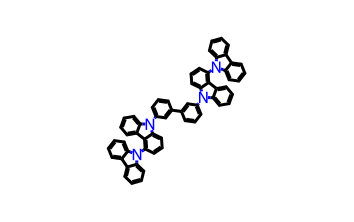 c1cc(-c2cccc(-n3c4ccccc4c4c(-n5c6ccccc6c6ccccc65)cccc43)c2)cc(-n2c3ccccc3c3c(-n4c5ccccc5c5ccccc54)cccc32)c1